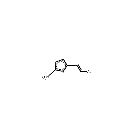 CC(=O)/C=C/c1ccc([N+](=O)[O-])s1